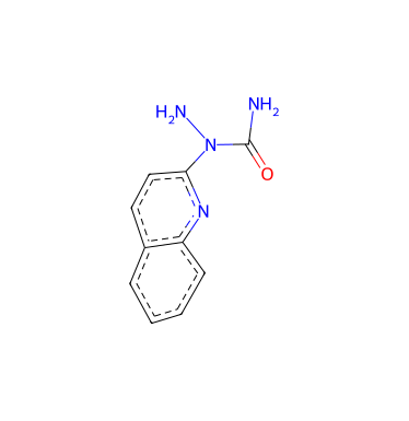 NC(=O)N(N)c1ccc2ccccc2n1